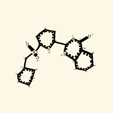 O=c1nc(-c2cccc(S(=O)(=O)Cc3ccccc3)n2)sc2ccccc12